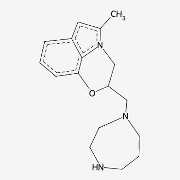 Cc1cc2cccc3c2n1CC(CN1CCCNCC1)O3